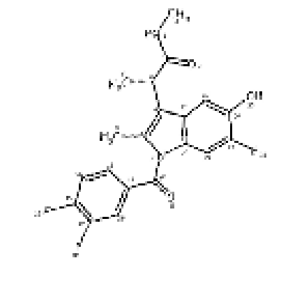 CNC(=O)[C@@H](C)c1c(C)n(C(=O)c2ccc(F)c(F)c2)c2cc(F)c(O)cc12